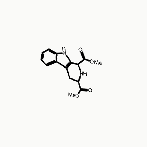 COC(=O)C1Cc2c([nH]c3ccccc23)C(C(=O)OC)N1